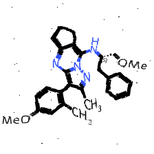 COC[C@H](Cc1ccccc1)Nc1c2c(nc3c(-c4ccc(OC)cc4C)c(C)nn13)CCC2